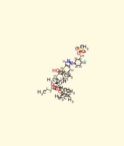 CCCC1O[C@@H]2C[C@H]3[C@@H]4CCC5=Cc6c(cnn6-c6ccc(F)c(COS(C)(=O)=O)c6)C[C@]5(C)[C@H]4[C@@H](O)C[C@]3(C)[C@]2(C(=O)CO[Si](C)(C)C(C)(C)C)O1